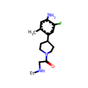 CCNCC(=O)N1CCC(c2cc(F)c(N)cc2C)CC1